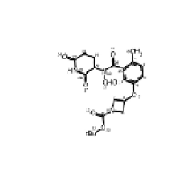 Cc1ccc(OC2CN(C(=O)OC(C)(C)C)C2)cc1C(=O)N(C=O)C1CCC(=O)NC1=O